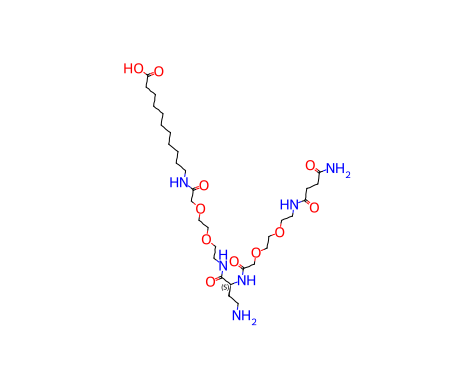 NCC[C@H](NC(=O)COCCOCCNC(=O)CCC(N)=O)C(=O)NCCOCCOCC(=O)NCCCCCCCCCCC(=O)O